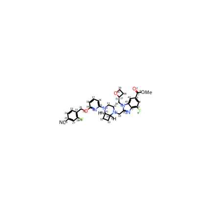 COC(=O)c1cc(F)c2nc(CN3CCN(c4cccc(OCc5ccc(C#N)cc5F)n4)[C@@H]4CC[C@H]43)n(C[C@@H]3CCO3)c2c1